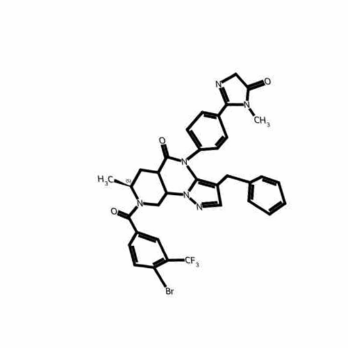 C[C@H]1CC2C(=O)N(c3ccc(C4=NCC(=O)N4C)cc3)c3c(Cc4ccccc4)cnn3C2CN1C(=O)c1ccc(Br)c(C(F)(F)F)c1